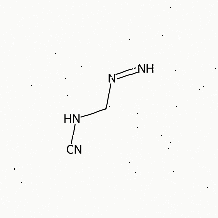 N#CNCN=N